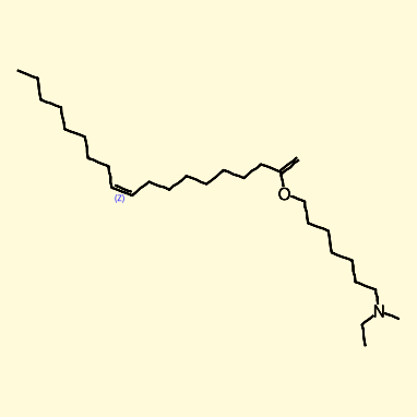 C=C(CCCCCCC/C=C\CCCCCCCC)OCCCCCCCN(C)CC